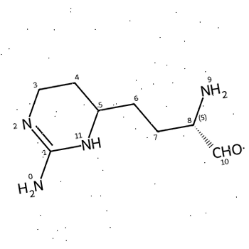 NC1=NCCC(CC[C@H](N)[C]=O)N1